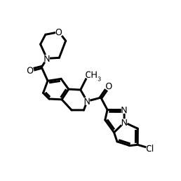 CC1c2cc(C(=O)N3CCOCC3)ccc2CCN1C(=O)c1cc2ccc(Cl)cn2n1